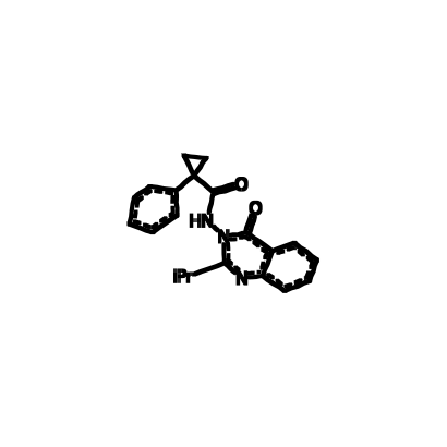 CC(C)c1nc2ccccc2c(=O)n1NC(=O)C1(c2ccccc2)CC1